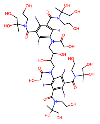 CC(O)(CO)N(CCO)C(=O)c1c(I)c(C(=O)N(CCO)C(C)(O)CO)c(I)c(N(CC(O)C(O)CN(C(=O)CO)c2c(I)c(C(=O)N(CCO)C(C)(O)CO)c(I)c(C(=O)N(CCO)C(C)(O)CO)c2I)C(=O)CO)c1I